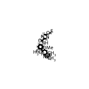 CO[C@@H]1C[C@@](C)(S(C)(=O)=O)C(N)=N[C@]1(C)c1cc(NC(=O)c2cnc(OCF)cn2)ccc1F